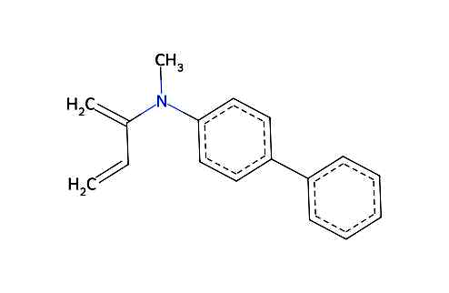 C=CC(=C)N(C)c1ccc(-c2ccccc2)cc1